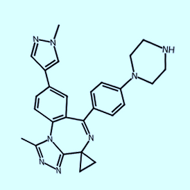 Cc1nnc2n1-c1ccc(-c3cnn(C)c3)cc1C(c1ccc(N3CCNCC3)cc1)=NC21CC1